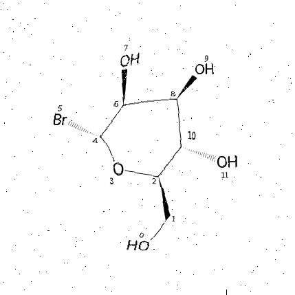 OC[C@H]1O[C@H](Br)[C@@H](O)[C@@H](O)[C@@H]1O